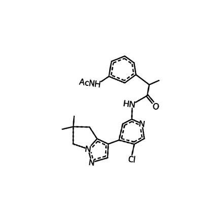 CC(=O)Nc1cccc(C(C)C(=O)Nc2cc(-c3cnn4c3CC(C)(C)C4)c(Cl)cn2)c1